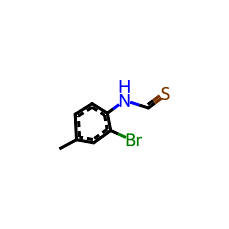 Cc1ccc(NC=S)c(Br)c1